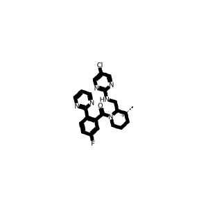 C[C@@H]1CCCN(C(=O)c2cc(F)ccc2-c2ncccn2)C1CNc1ncc(Cl)cn1